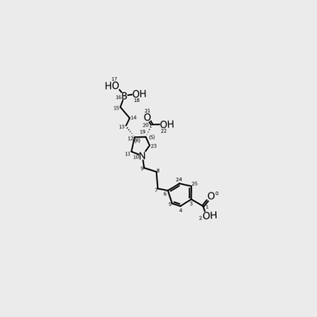 O=C(O)c1ccc(CCCN2C[C@H](CCCB(O)O)[C@H](C(=O)O)C2)cc1